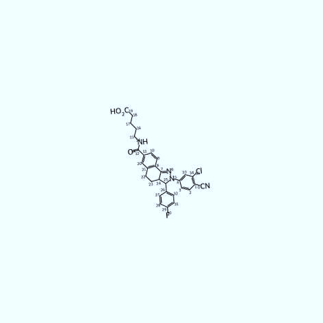 N#Cc1ccc(N2N=C3c4ccc(C(=O)NCCCCC(=O)O)cc4CCC3C2c2ccc(F)cc2)cc1Cl